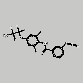 Cc1cc(SC(F)(F)C(F)(F)C(F)(F)F)cc(C)c1NC(=O)c1cccc(N=C=O)c1